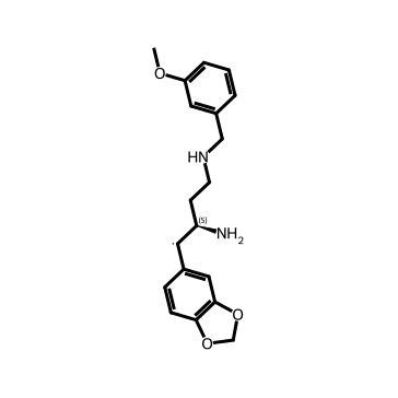 COc1cccc(CNCC[C@@H](N)[CH]c2ccc3c(c2)OCO3)c1